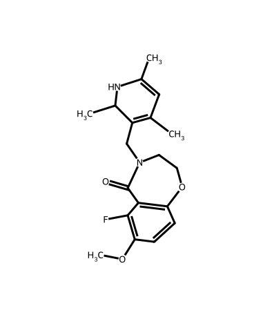 COc1ccc2c(c1F)C(=O)N(CC1=C(C)C=C(C)NC1C)CCO2